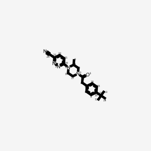 CC1CN(C(=O)Cc2ccc(C(C)(C)C)cc2)CCN1c1ccc(C#N)nn1